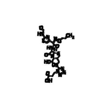 C=CCO/N=C(\C(=O)NC1C(=O)N2C(C(=O)O)=C(CSc3nnnn3CCC(=O)O)CS[C@H]12)c1csc(NC=O)n1